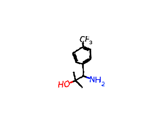 CC(C)(O)C(N)c1ccc(C(F)(F)F)cc1